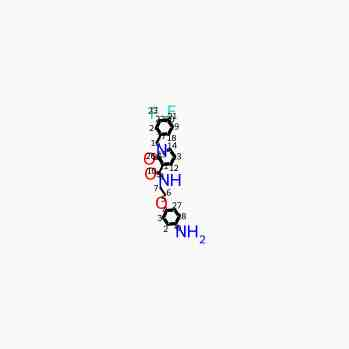 Nc1ccc(OCCNC(=O)c2cccn(Cc3ccc(F)c(F)c3)c2=O)cc1